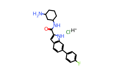 NC1CCCC(NC(=O)c2cc3ccc(-c4ccc(F)cc4)cc3[nH]2)C1.[Cl-].[H+]